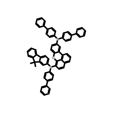 CC1(C)c2ccccc2-c2ccc(N(c3ccc(-c4ccccc4)cc3)c3ccc4cccc5c4c3Oc3ccc(N(c4ccc(-c6ccccc6)cc4)c4ccc(-c6ccccc6)cc4)cc3-5)cc21